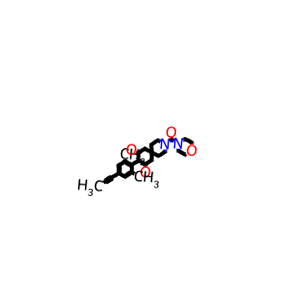 CC#Cc1cc(C)c(C2C(=O)CC3(CCN(C(=O)N4CCOCC4)CC3)CC2=O)c(C)c1